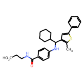 Cc1sc(-c2ccccc2)cc1C(Nc1ccc(C(=O)NCCC(=O)O)cc1)C1CCCCC1